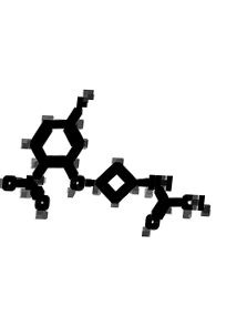 CC(=O)N[C@H]1C[C@H](Oc2cc(F)ccc2[N+](=O)[O-])C1